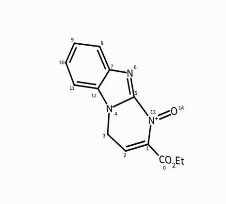 CCOC(=O)C1=CCn2c(nc3ccccc32)[N+]1=O